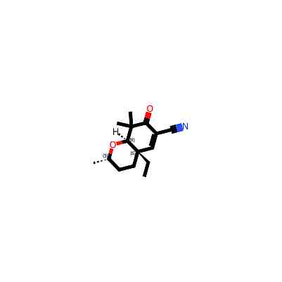 CC[C@]12C=C(C#N)C(=O)C(C)(C)[C@@H]1O[C@@H](C)CC2